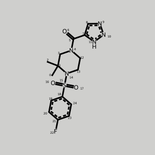 CC1(C)CN(C(=O)c2cnn[nH]2)CCN1S(=O)(=O)c1ccc(F)cc1